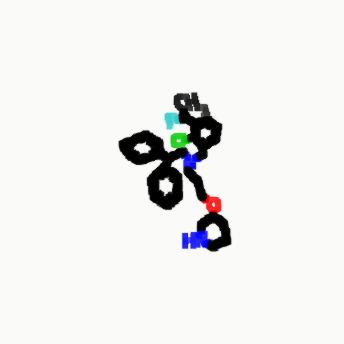 CC(F)c1cccc(CN(CCCOC2CCCNC2)CC(c2ccccc2)c2ccccc2)c1Cl